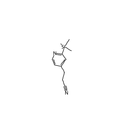 C[Si](C)(C)c1cc(CCC#N)ccn1